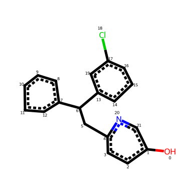 Oc1ccc(CC(c2ccccc2)c2cccc(Cl)c2)nc1